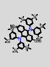 CC(C)(C)c1ccc2c(N(c3cc([Si](C)(C)C)cc([Si](C)(C)C)c3)c3cc([Si](C)(C)C)cc([Si](C)(C)C)c3)c3cc(C(C)(C)C)ccc3c(N(c3cc([Si](C)(C)C)cc([Si](C)(C)C)c3)c3cc([Si](C)(C)C)cc([Si](C)(C)C)c3)c2c1